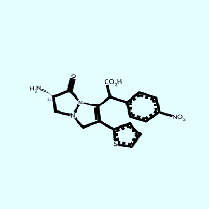 N[C@H]1CN2CC(c3cccs3)=C(C(C(=O)O)c3ccc([N+](=O)[O-])cc3)N2C1=O